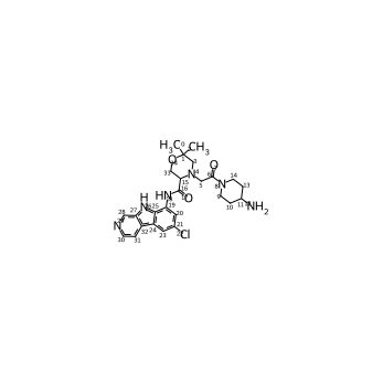 CC1(C)CN(CC(=O)N2CCC(N)CC2)C(C(=O)Nc2cc(Cl)cc3c2[nH]c2cnccc23)CO1